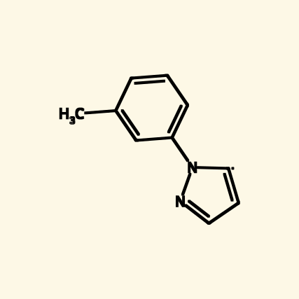 Cc1cccc(-n2[c]ccn2)c1